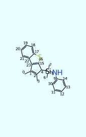 CC1=C(C)C([Si](C)(C)Nc2ccccc2)c2sc3ccccc3c21